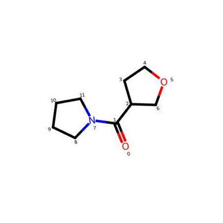 O=C(C1CCOC1)N1CCCC1